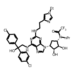 CCCN(C(=O)C(F)(F)F)[C@H]1C[C@@H](n2cnc3c(NCC(O)(c4ccc(Cl)cc4)c4ccc(Cl)cc4)nc(NCCc4cn(CC)cn4)nc32)[C@H](O)[C@@H]1O